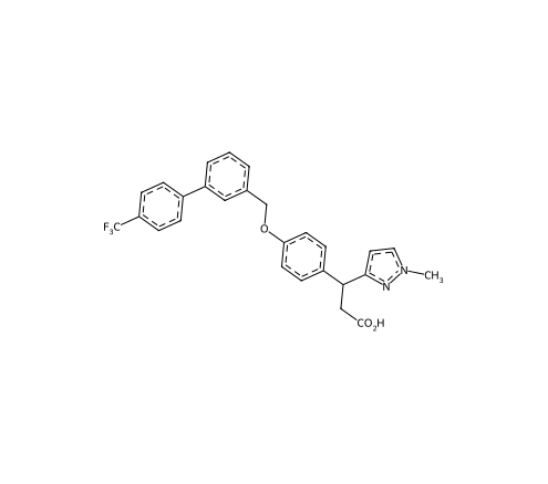 Cn1ccc(C(CC(=O)O)c2ccc(OCc3cccc(-c4ccc(C(F)(F)F)cc4)c3)cc2)n1